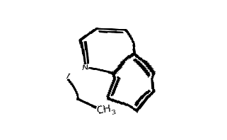 CCI.c1ccc2ncccc2c1